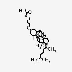 CC(C)CCC[C@@H](C)[C@H]1CC[C@H]2[C@@H]3CC=C4CC(OCCOCC(=O)O)CC[C@]4(C)[C@H]3CC[C@]12C